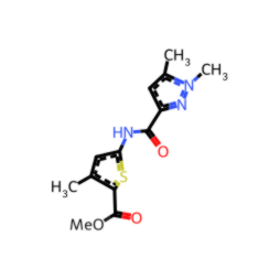 COC(=O)c1sc(NC(=O)c2cc(C)n(C)n2)cc1C